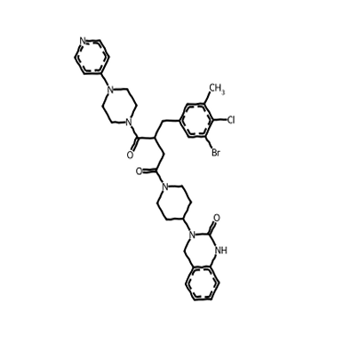 Cc1cc(CC(CC(=O)N2CCC(N3Cc4ccccc4NC3=O)CC2)C(=O)N2CCN(c3ccncc3)CC2)cc(Br)c1Cl